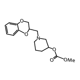 COC(=O)OC1CCCN(CC2COc3ccccc3O2)C1